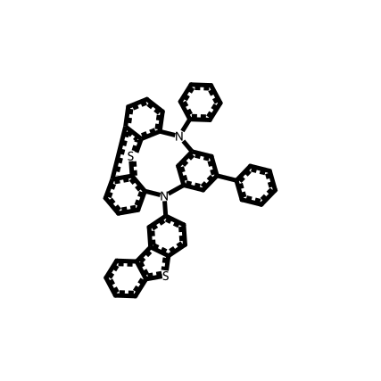 c1ccc(-c2cc3cc(c2)N(c2ccc4sc5ccccc5c4c2)c2cccc4c2sc2c(cccc24)N3c2ccccc2)cc1